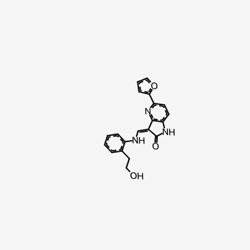 O=C1Nc2ccc(-c3ccco3)nc2C1=CNc1ccccc1CCO